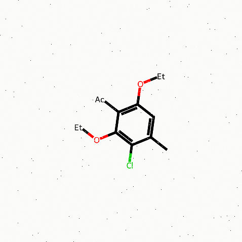 CCOc1cc(C)c(Cl)c(OCC)c1C(C)=O